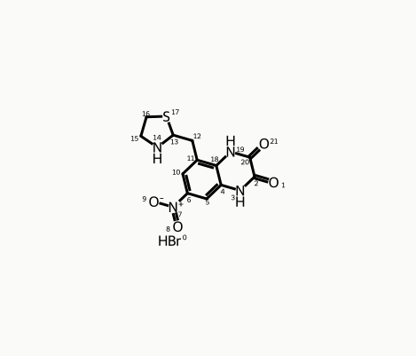 Br.O=c1[nH]c2cc([N+](=O)[O-])cc(CC3NCCS3)c2[nH]c1=O